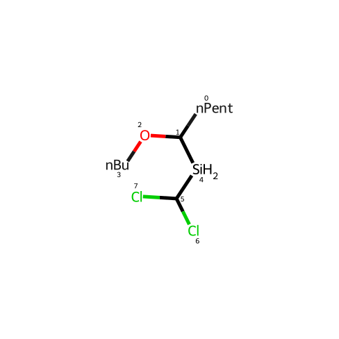 CCCCCC(OCCCC)[SiH2]C(Cl)Cl